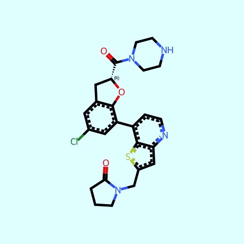 O=C1CCCN1Cc1cc2nccc(-c3cc(Cl)cc4c3O[C@@H](C(=O)N3CCNCC3)C4)c2s1